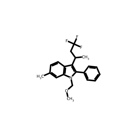 COCn1c(-c2ccccc2)c(C(C)CC(F)(F)F)c2ccc(C)cc21